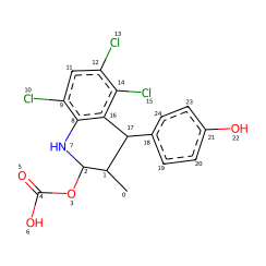 CC1C(OC(=O)O)Nc2c(Cl)cc(Cl)c(Cl)c2C1c1ccc(O)cc1